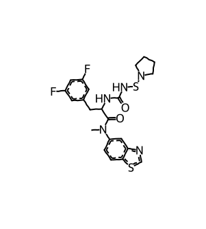 CN(C(=O)C(Cc1cc(F)cc(F)c1)NC(=O)NSN1CCCC1)c1ccc2scnc2c1